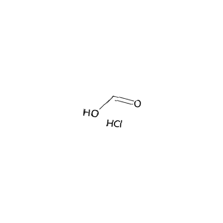 Cl.O=CO